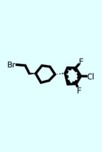 Fc1cc([C@H]2CC[C@H](CCBr)CC2)cc(F)c1Cl